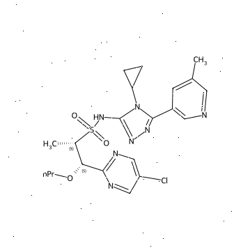 CCCO[C@@H](c1ncc(Cl)cn1)[C@H](C)S(=O)(=O)Nc1nnc(-c2cncc(C)c2)n1C1CC1